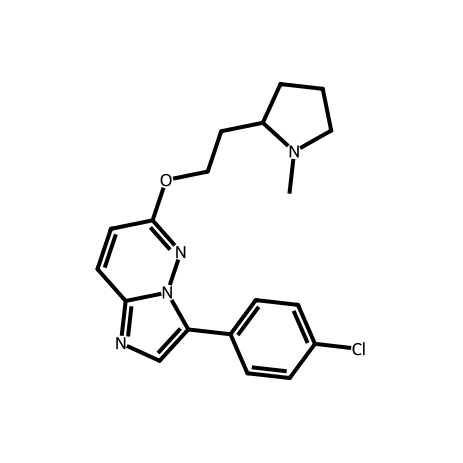 CN1CCCC1CCOc1ccc2ncc(-c3ccc(Cl)cc3)n2n1